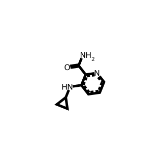 NC(=O)c1ncccc1NC1CC1